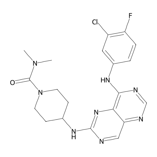 CN(C)C(=O)N1CCC(Nc2ncc3ncnc(Nc4ccc(F)c(Cl)c4)c3n2)CC1